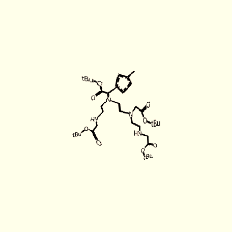 Cc1ccc(C(C(=O)OC(C)(C)C)N(CCNCC(=O)OC(C)(C)C)CCN(CCNCC(=O)OC(C)(C)C)CC(=O)OC(C)(C)C)cc1